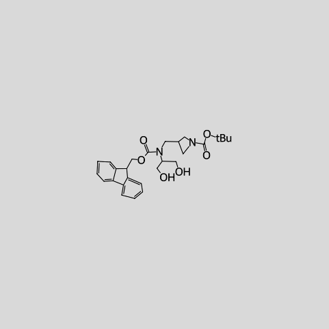 CC(C)(C)OC(=O)N1CC(CN(C(=O)OCC2c3ccccc3-c3ccccc32)C(CO)CO)C1